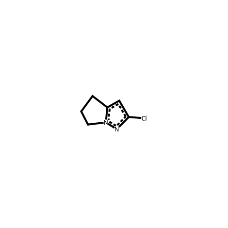 Clc1cc2n(n1)CCC2